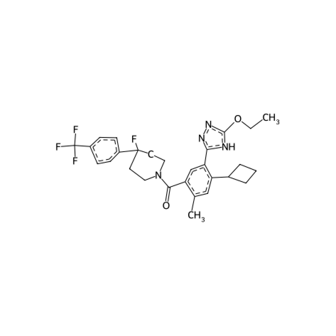 CCOc1nnc(-c2cc(C(=O)N3CCC(F)(c4ccc(C(F)(F)F)cc4)CC3)c(C)cc2C2CCC2)[nH]1